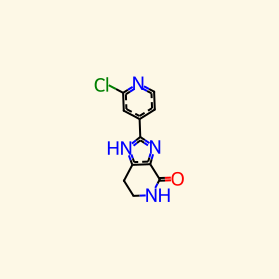 O=C1NCCc2[nH]c(-c3ccnc(Cl)c3)nc21